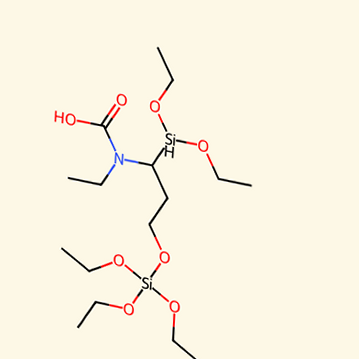 CCO[SiH](OCC)C(CCO[Si](OCC)(OCC)OCC)N(CC)C(=O)O